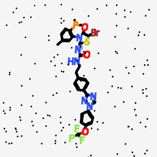 Cc1ccc(P(C)C)c(N2C(=O)C(Br)S/C2=N\C(=O)NCCc2ccc(-c3ncn(-c4ccc(OC(F)(F)F)cc4)n3)cc2)c1